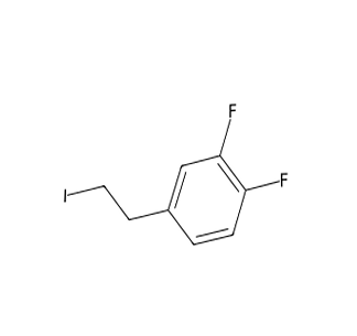 Fc1ccc(CCI)cc1F